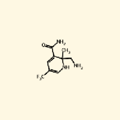 CC1(CN)NC=C(C(F)(F)F)C=C1C(N)=O